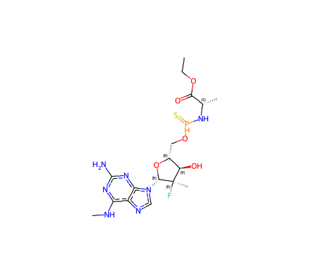 CCOC(=O)[C@H](C)N[PH](=S)OC[C@H]1O[C@@H](n2cnc3c(NC)nc(N)nc32)[C@](C)(F)[C@@H]1O